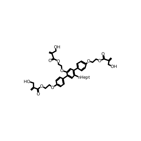 C=C(CO)C(=O)OCCOc1ccc(-c2cc(OCCOC(=O)C(=C)CO)c(-c3ccc(OCCOC(=O)C(=C)CO)cc3)cc2CCCCCCC)cc1